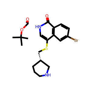 CC(C)(C)OC=O.O=c1[nH]cc(SC[C@H]2CCCNC2)c2cc(Br)ccc12